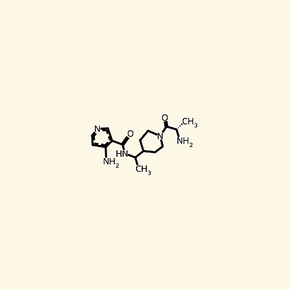 CC(NC(=O)c1cnccc1N)C1CCN(C(=O)[C@H](C)N)CC1